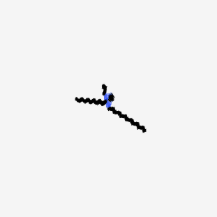 CCCCCCCCCCCCCn1cc[n+](CCC)c1CCCCCCCCCC